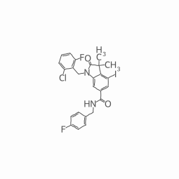 CC1(C)C(=O)N(Cc2c(F)cccc2Cl)c2cc(C(=O)NCc3ccc(F)cc3)cc(I)c21